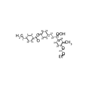 C=Cc1ccc(C(=O)Oc2ccc(CCC(OO)c3ccc(OCOCC)c(C)c3)cc2)cc1